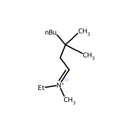 CCCCC(C)(C)C/C=[N+](/C)CC